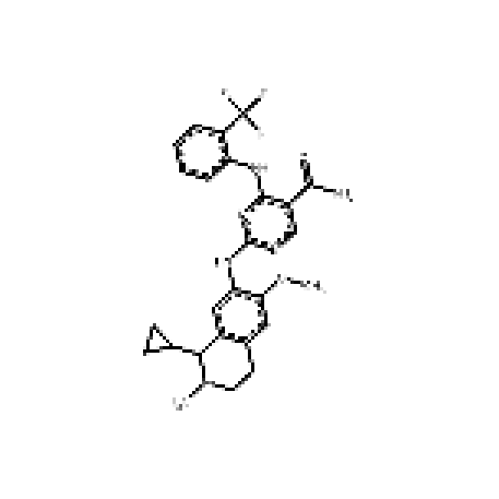 COc1cc2c(cc1Nc1ncc(C(N)=O)c(Nc3ccccc3C(F)(F)F)n1)C(C1CC1)N(C)CC2